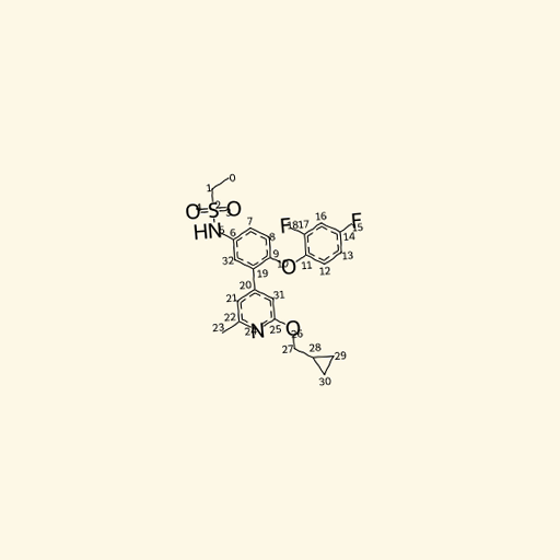 CCS(=O)(=O)Nc1ccc(Oc2ccc(F)cc2F)c(-c2cc(C)nc(OCC3CC3)c2)c1